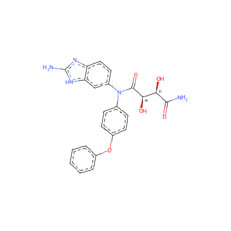 NC(=O)[C@H](O)[C@@H](O)C(=O)N(c1ccc(Oc2ccccc2)cc1)c1ccc2nc(N)[nH]c2c1